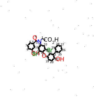 O=C(O)CN(C(=O)c1cccc(O)c1)c1cc(Br)c(Oc2ccc(O)c(-c3ccccc3)c2)c(Br)c1